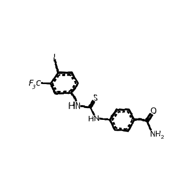 NC(=O)c1ccc(NC(=S)Nc2ccc(I)c(C(F)(F)F)c2)cc1